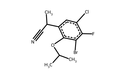 CC(C)Oc1c(C(C)C#N)cc(Cl)c(F)c1Br